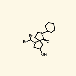 CCC(CC)N1CC(O)CC12CCN(C1CCCCC1)C2=O